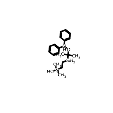 CC(C)(O[SiH](c1ccccc1)c1ccccc1)[SiH2]CC[Si](C)(C)O